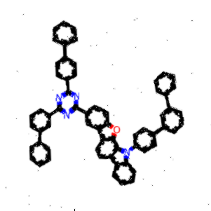 c1ccc(-c2ccc(-c3nc(-c4cccc(-c5ccccc5)c4)nc(-c4ccc5oc6c(ccc7c8ccccc8n(-c8ccc(-c9cccc(-c%10ccccc%10)c9)cc8)c76)c5c4)n3)cc2)cc1